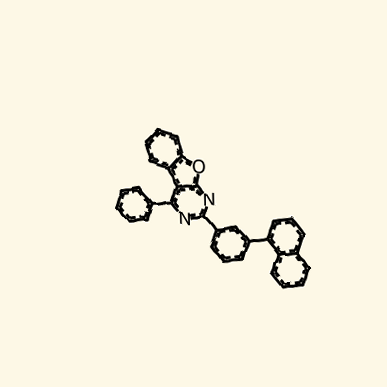 c1ccc(-c2nc(-c3cccc(-c4cccc5ccccc45)c3)nc3oc4ccccc4c23)cc1